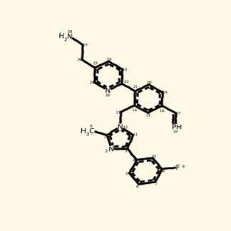 Cc1nc(-c2cccc(F)c2)cn1Cc1cc(C=P)ccc1-c1ccc(CCN)cn1